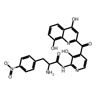 NC(Cc1ccc([N+](=O)[O-])cc1)C(=O)Nc1nccc(C(=O)c2cc(O)c3cccc(O)c3n2)c1O